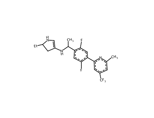 CCC1CC(NC(C)c2cc(F)c(-c3cc(C(F)(F)F)cc(C)n3)cc2F)=CN1